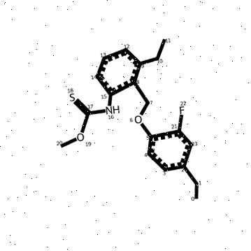 CCc1ccc(OCc2c(CC)cccc2NC(=S)OC)c(F)c1